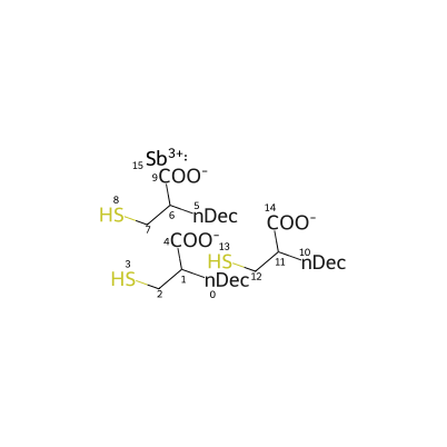 CCCCCCCCCCC(CS)C(=O)[O-].CCCCCCCCCCC(CS)C(=O)[O-].CCCCCCCCCCC(CS)C(=O)[O-].[Sb+3]